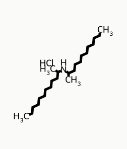 CCCCCCCCCCC(C)NC(C)CCCCCCCCCC.Cl